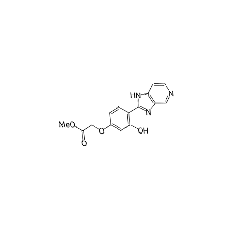 COC(=O)COc1ccc(-c2nc3cnccc3[nH]2)c(O)c1